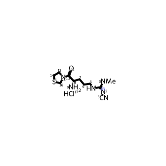 CN/C(=N/C#N)NCCC[C@H](N)C(=O)N1CCSC1.Cl